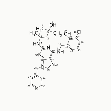 CC(CC(C)(C)O)Nc1nc(NCc2cccc(Cl)c2O)c2ncn(Cc3ccccc3)c2n1